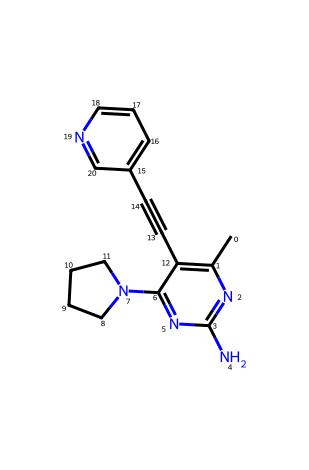 Cc1nc(N)nc(N2CCCC2)c1C#Cc1cccnc1